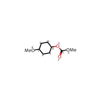 COC(=O)OC1CCC(OC)CC1